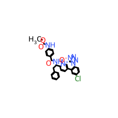 COC(=O)Nc1ccc(C(=O)NC(Cc2ccccc2)c2ccc(-c3cc(Cl)ccc3-n3cnnn3)c[n+]2[O-])cc1